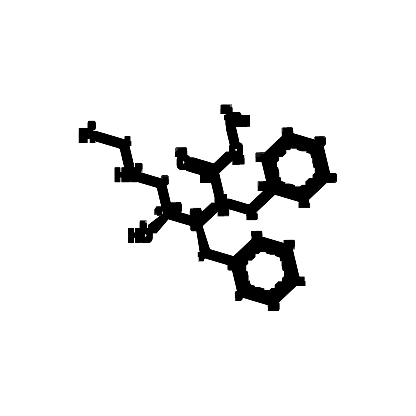 CC(C)CNC[C@H](O)[C@H](Cc1ccccc1)N(Cc1ccccc1)C(=O)OC(C)(C)C